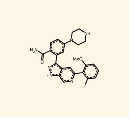 COc1cccc(F)c1-c1cc2c(-c3cc(N4CCNCC4)ccc3C(N)=O)n[nH]c2cn1